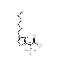 COCCOCc1csc(N(C(=O)O)C(C)(C)C)n1